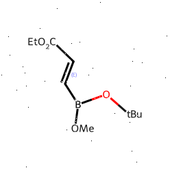 CCOC(=O)/C=C/B(OC)OC(C)(C)C